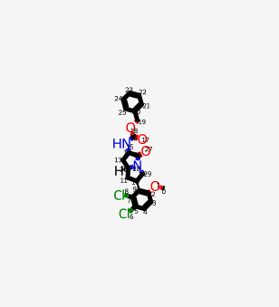 COc1ccc(Cl)c(Cl)c1[C@H]1C[C@H]2CC(NC(=O)OCc3ccccc3)C(=O)N2C1